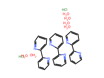 Cl.Cl.O.O.O.O.O.O.c1ccc(-c2ccccn2)nc1.c1ccc(-c2ccccn2)nc1.c1ccc(-c2ccccn2)nc1